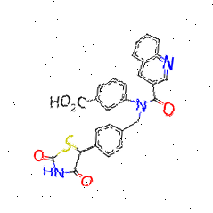 O=C1NC(=O)C(c2ccc(CN(C(=O)c3cnc4ccccc4c3)c3cccc(C(=O)O)c3)cc2)S1